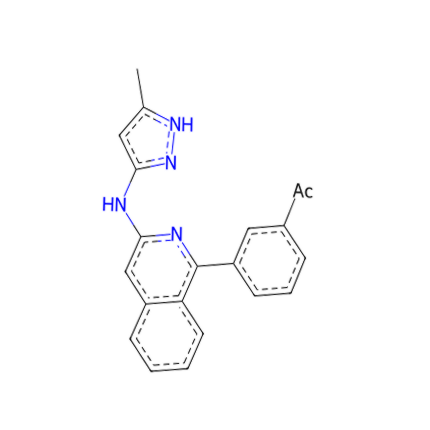 CC(=O)c1cccc(-c2nc(Nc3cc(C)[nH]n3)cc3ccccc23)c1